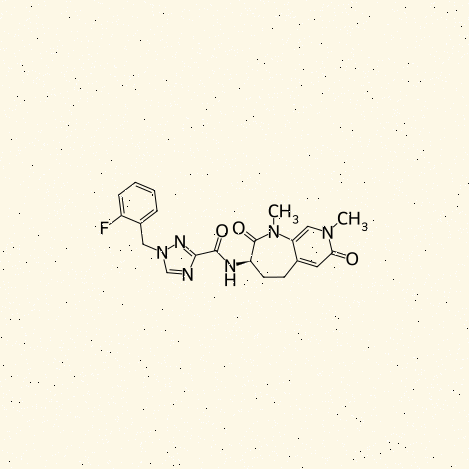 CN1C(=O)[C@H](NC(=O)c2ncn(Cc3ccccc3F)n2)CCc2cc(=O)n(C)cc21